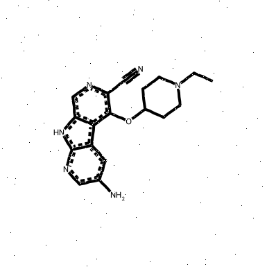 CCN1CCC(Oc2c(C#N)ncc3[nH]c4ncc(N)cc4c23)CC1